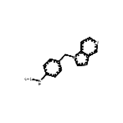 O=CNc1ccc(Cn2ccc3cnccc32)cc1